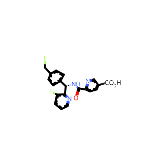 O=C(O)c1ccc(C(=O)N[C@@H](c2ccc(CF)cc2)c2ncccc2F)nc1